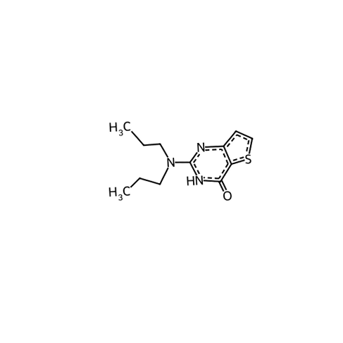 CCCN(CCC)c1nc2ccsc2c(=O)[nH]1